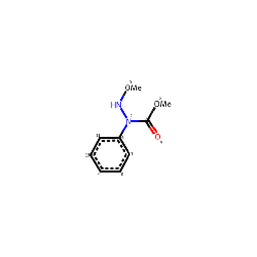 CONN(C(=O)OC)c1ccccc1